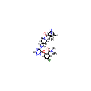 C=C1CC2CC[C@H]1[C@@H](C(=O)N1CCC3(CC1)CN(c1ncnnc1Oc1ccc(F)cc1C(=O)N(CC)C(C)C)C3)N2